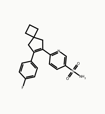 NS(=O)(=O)c1ccc(C2=C(c3ccc(F)cc3)CC3(CCC3)C2)nc1